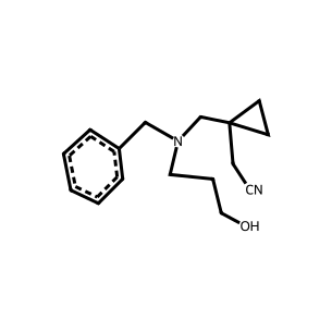 N#CCC1(CN(CCCO)Cc2ccccc2)CC1